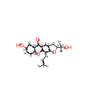 CC(C)=CCc1c2c(cc3c(=O)c4cc(O)ccc4oc13)CC(C(C)(C)O)O2